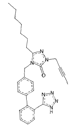 CC#CCn1nc(CCCCCCC)n(Cc2ccc(-c3ccccc3-c3nnn[nH]3)cc2)c1=O